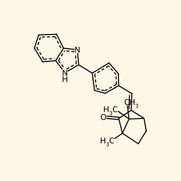 CC12CCC(C(=Cc3ccc(-c4nc5ccccc5[nH]4)cc3)C1=O)C2(C)C